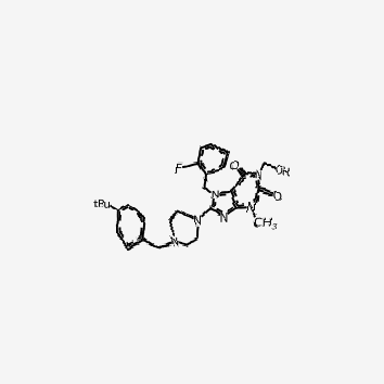 Cn1c(=O)n(CO)c(=O)c2c1nc(N1CCN(Cc3ccc(C(C)(C)C)cc3)CC1)n2Cc1ccccc1F